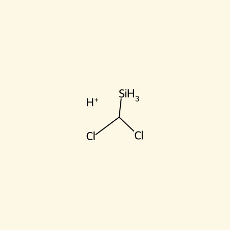 [H+].[SiH3]C(Cl)Cl